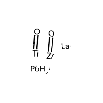 [La].[O]=[Ti].[O]=[Zr].[PbH2]